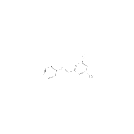 Clc1cc(Br)cc(/C=N/c2ccccc2)c1